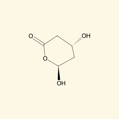 O=C1C[C@H](O)C[C@@H](O)O1